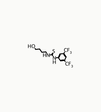 OCCCCNC(=S)Nc1cc(C(F)(F)F)cc(C(F)(F)F)c1